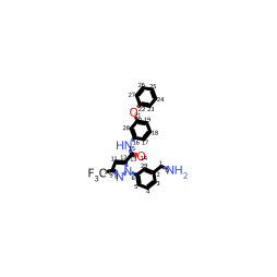 NCc1cccc(-n2nc(C(F)(F)F)cc2C(=O)Nc2cccc(Oc3ccccc3)c2)c1